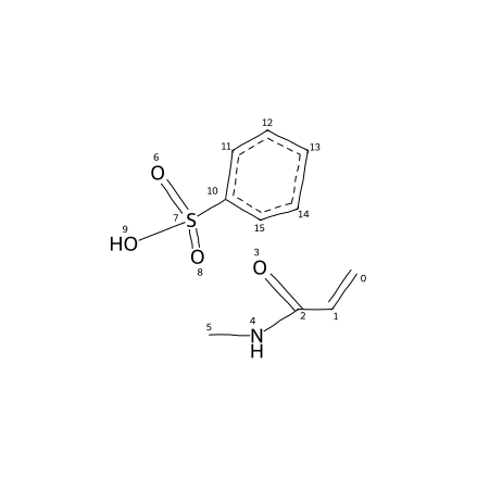 C=CC(=O)NC.O=S(=O)(O)c1ccccc1